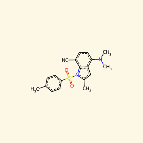 Cc1ccc(S(=O)(=O)n2c(C)cc3c(N(C)C)ccc(C#N)c32)cc1